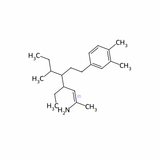 CCC(C)C(CCc1ccc(C)c(C)c1)C(/C=C(/C)N)CC